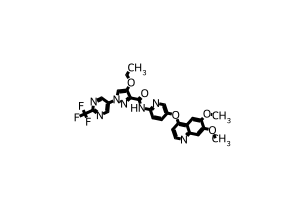 CCOc1cn(-c2cnc(C(F)(F)F)nc2)nc1C(=O)Nc1ccc(Oc2ccnc3cc(OC)c(OC)cc23)cn1